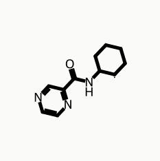 O=C(NC1[CH]CCCC1)c1cnccn1